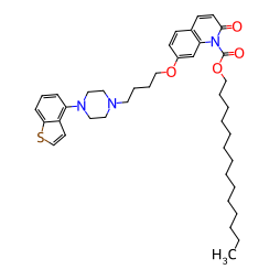 CCCCCCCCCCCCCCOC(=O)n1c(=O)ccc2ccc(OCCCCN3CCN(c4cccc5sccc45)CC3)cc21